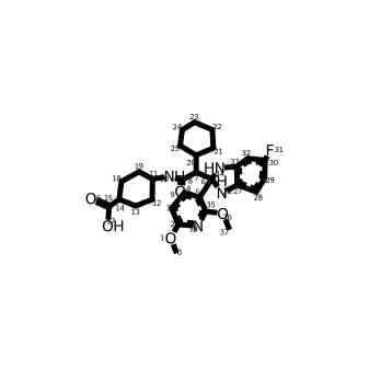 COc1ccc(C2(C(C(=O)NC3CCC(C(=O)O)CC3)C3CCCCC3)Nc3ccc(F)cc3N2)c(OC)n1